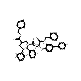 O=C(OCc1ccccc1)C(CCc1ccccc1)CN(Cc1ccccc1)C(=O)N[C@@H](Cc1ccc(-c2ccccc2)cc1)C(=O)OCc1ccccc1